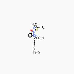 Cc1nc(NC(=O)c2ccccc2NC(CCCCCCCC=O)C(=O)O)sc1C